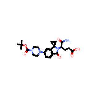 CC(C)(C)OC(=O)N1CCN(c2ccc3c(c2)C2(CC2)N(C(CCC(=O)O)C(N)=O)C3=O)CC1